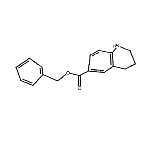 O=C(OCc1ccccc1)c1ccc2c(c1)[C]CCN2